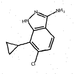 Nc1n[nH]c2c(C3CC3)c(Cl)ccc12